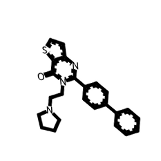 O=c1c2sccc2nc(-c2ccc(-c3ccccc3)cc2)n1CCN1CCCC1